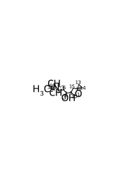 CC(C)(C)[N]CCC(O)C1COC2(CC2)C1